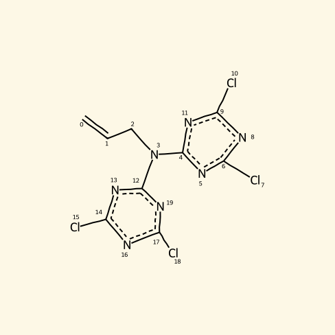 C=CCN(c1nc(Cl)nc(Cl)n1)c1nc(Cl)nc(Cl)n1